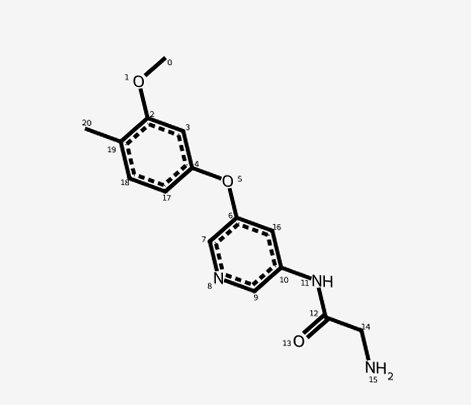 COc1cc(Oc2cncc(NC(=O)CN)c2)ccc1C